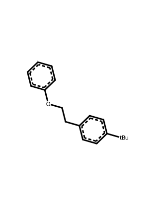 CC(C)(C)c1ccc(CCOc2cc[c]cc2)cc1